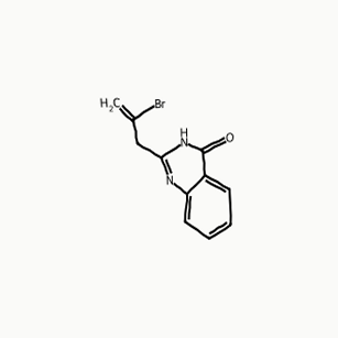 C=C(Br)Cc1nc2ccccc2c(=O)[nH]1